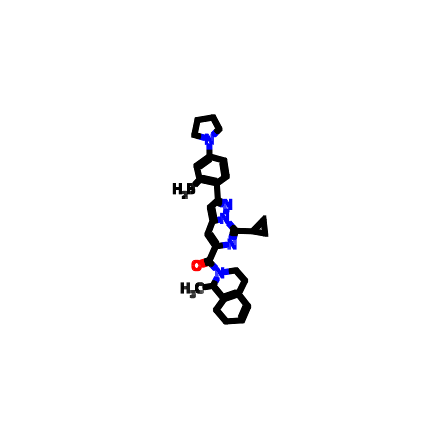 Bc1cc(N2CCCC2)ccc1-c1cc2cc(C(=O)N3CCC4=C(CCC=C4)C3C)nc(C3CC3)n2n1